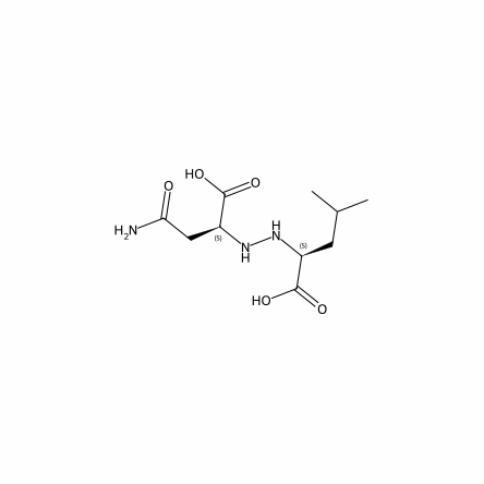 CC(C)C[C@H](NN[C@@H](CC(N)=O)C(=O)O)C(=O)O